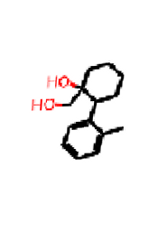 Cc1ccccc1C1CCCCC1(O)CO